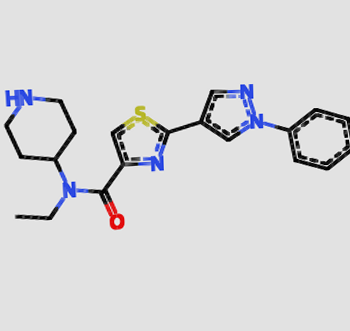 CCN(C(=O)c1csc(-c2cnn(-c3ccccc3)c2)n1)C1CCNCC1